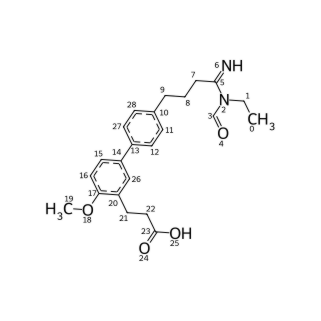 CCN(C=O)C(=N)CCCc1ccc(-c2ccc(OC)c(CCC(=O)O)c2)cc1